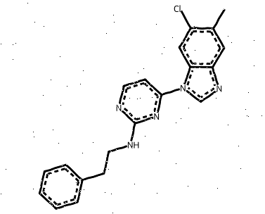 Cc1cc2ncn(-c3ccnc(NCCc4ccccc4)n3)c2cc1Cl